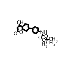 Cc1cc(=O)oc2cc(-c3ccc(NC(=O)OC(C)(C)C)cc3)ccc12